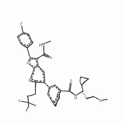 CNC(=O)c1c(-c2ccc(F)cc2)oc2nc(CCC(F)(F)F)c(-c3cccc(C(=O)N[C@@H](CCOC)C4CC4)c3)cc12